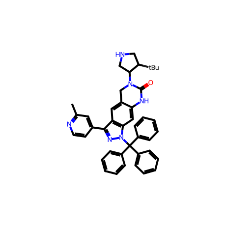 Cc1cc(-c2nn(C(c3ccccc3)(c3ccccc3)c3ccccc3)c3cc4c(cc23)CN(C2CNCC2C(C)(C)C)C(=O)N4)ccn1